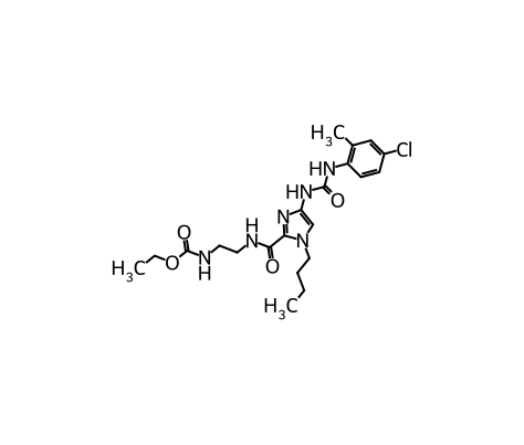 CCCCn1cc(NC(=O)Nc2ccc(Cl)cc2C)nc1C(=O)NCCNC(=O)OCC